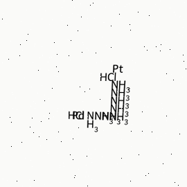 Cl.Cl.N.N.N.N.N.N.N.N.[Pd].[Pt]